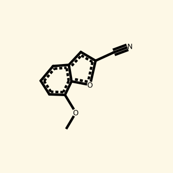 COc1cccc2cc(C#N)oc12